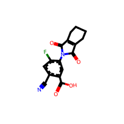 N#Cc1cc(F)c(N2C(=O)C3=C(CCCC3)C2=O)cc1C(=O)O